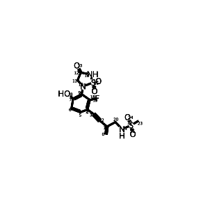 C=C(C#Cc1ccc(O)c(N2CC(=O)NS2(=O)=O)c1F)CNS(C)(=O)=O